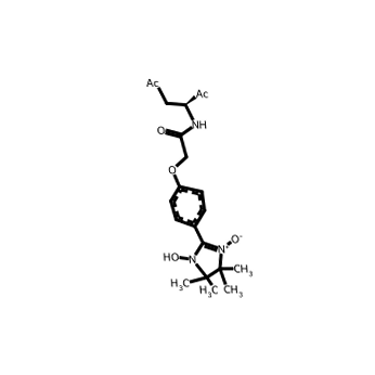 CC(=O)C[C@H](NC(=O)COc1ccc(C2=[N+]([O-])C(C)(C)C(C)(C)N2O)cc1)C(C)=O